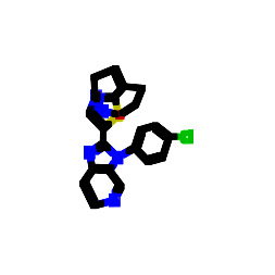 Clc1ccc(-n2c(-c3cnc(/C4=C\CCNCCC4)s3)nc3ccncc32)cc1